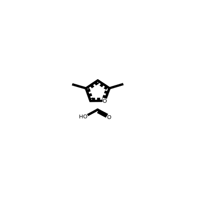 Cc1coc(C)c1.O=CO